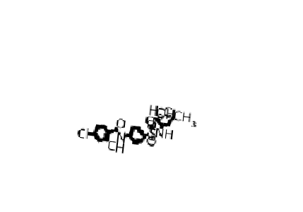 CC(C)CC(NS(=O)(=O)c1ccc(NC(=O)c2ccc(Cl)cc2Cl)cc1)C(=O)O